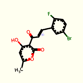 Cc1cc(O)c(C(=O)/C=C/c2cc(Br)ccc2F)c(=O)o1